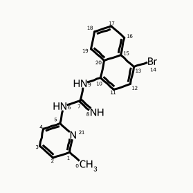 Cc1cccc(NC(=N)Nc2ccc(Br)c3ccccc23)n1